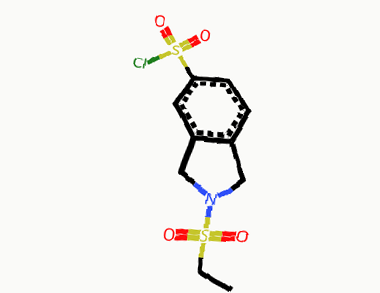 CCS(=O)(=O)N1Cc2ccc(S(=O)(=O)Cl)cc2C1